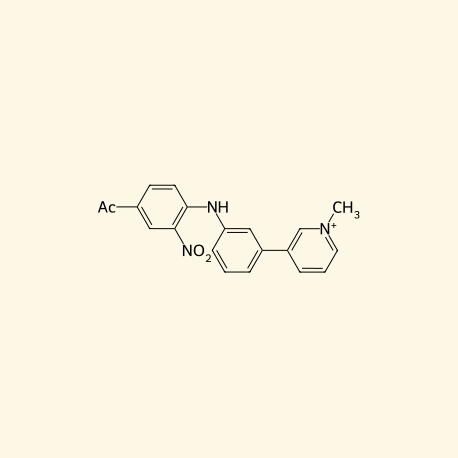 CC(=O)c1ccc(Nc2cccc(-c3ccc[n+](C)c3)c2)c([N+](=O)[O-])c1